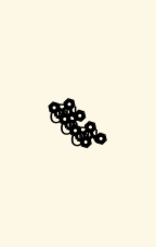 c1ccc(N2c3ccccc3B3c4cc5c(cc4Oc4cccc2c43)Oc2cc3c4c6c2B5c2ccccc2N6c2ccccc2B4c2ccccc2O3)cc1